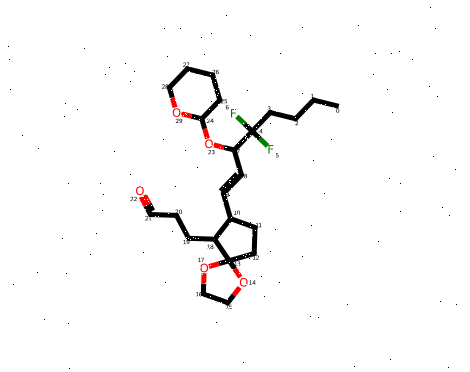 CCCCC(F)(F)C(/C=C/C1CCC2(OCCO2)C1CCC=O)OC1CCCCO1